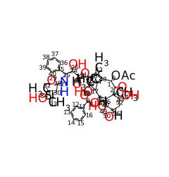 CC(=O)O[C@H]1C(=O)[C@@]2(C)[C@H]([C@H](OC(=O)c3ccccc3)[C@]3(O)C[C@H](OC(=O)[C@H](O)[C@@H](NC(=O)C[Si](C)(C)O)c4ccccc4)C(C)=C1C3(C)C)[C@]1(O)CO[C@@H]1C[C@@H]2O